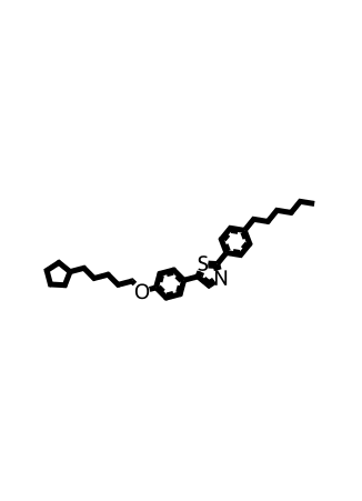 CCCCCCc1ccc(-c2ncc(-c3ccc(OCCCCCC4CCCC4)cc3)s2)cc1